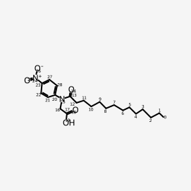 CCCCCCCCCCCCCC(=O)N(CC(=O)O)c1ccc([N+](=O)[O-])cc1